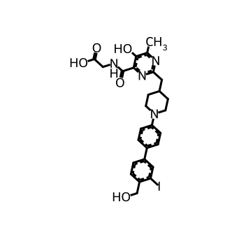 Cc1nc(CC2CCN(c3ccc(-c4ccc(CO)c(I)c4)cc3)CC2)nc(C(=O)NCC(=O)O)c1O